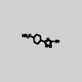 CC(C)c1nc(C2CCC(C(=O)O)CC2)no1